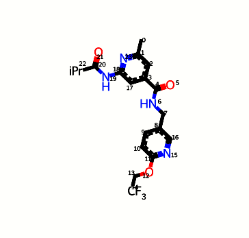 Cc1cc(C(=O)NCc2ccc(OCC(F)(F)F)nc2)cc(NC(=O)C(C)C)n1